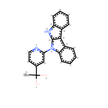 BC(B)(c1ccnc(-n2c3ccccc3c3c4ccccc4[nH]c32)c1)C(C)(C)C